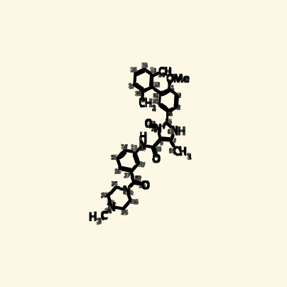 COc1ccc(C2NC(C)=C(C(=O)Nc3cccc(C(=O)N4CCN(C)CC4)c3)[N+]2=O)cc1-c1c(C)cccc1C